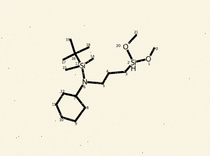 CO[SiH](CCCN(C1CCCCC1)[Si](C)(C)C(C)(C)C)OC